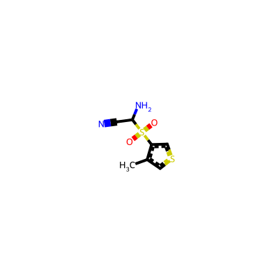 Cc1cscc1S(=O)(=O)C(N)C#N